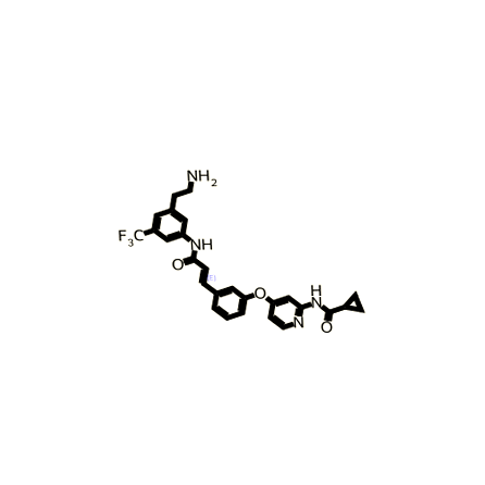 NCCc1cc(NC(=O)/C=C/c2cccc(Oc3ccnc(NC(=O)C4CC4)c3)c2)cc(C(F)(F)F)c1